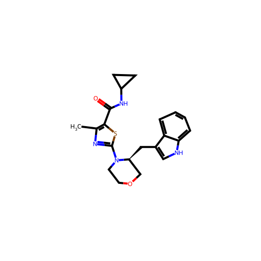 Cc1nc(N2CCOC[C@@H]2Cc2c[nH]c3ccccc23)sc1C(=O)NC1CC1